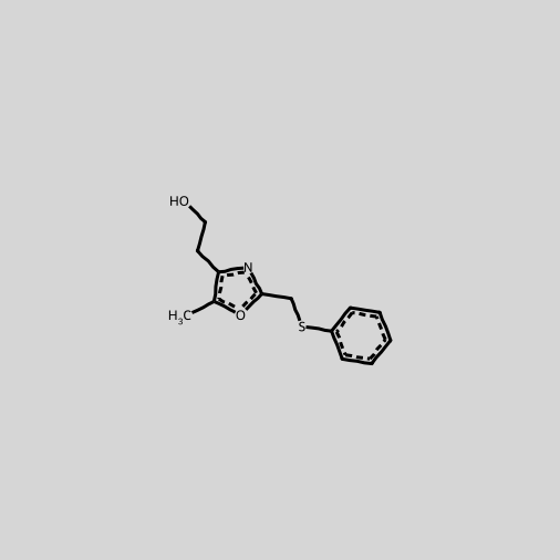 Cc1oc(CSc2ccccc2)nc1CCO